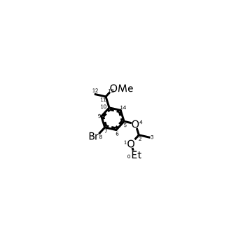 CCOC(C)Oc1cc(Br)cc(C(C)OC)c1